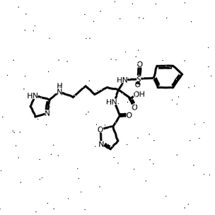 O=C(NC(CCCCNC1=NCCN1)(NS(=O)(=O)c1ccccc1)C(=O)O)C1CC=NO1